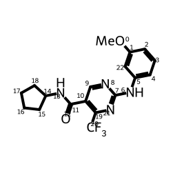 COc1cccc(Nc2ncc(C(=O)NC3CCCC3)c(C(F)(F)F)n2)c1